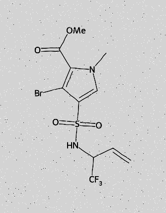 C=CC(NS(=O)(=O)c1cn(C)c(C(=O)OC)c1Br)C(F)(F)F